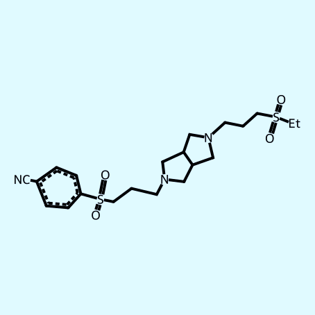 CCS(=O)(=O)CCCN1CC2CN(CCCS(=O)(=O)c3ccc(C#N)cc3)CC2C1